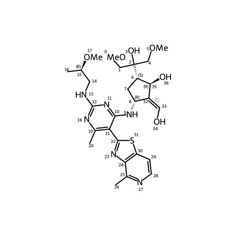 COCC(O)(COC)[C@H]1C[C@@H](Nc2nc(NC[C@@H](C)OC)nc(C)c2-c2nc3c(C)nccc3s2)/C(=C\O)[C@@H]1O